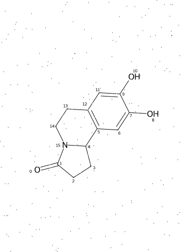 O=C1CCC2c3cc(O)c(O)cc3CCN12